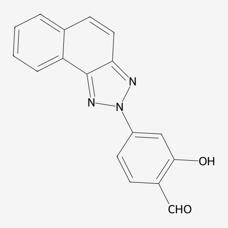 O=Cc1ccc(-n2nc3ccc4ccccc4c3n2)cc1O